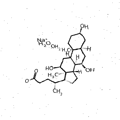 C[C@H](CCC(=O)[O-])[C@H]1CC[C@H]2[C@@H]3[C@H](O)C[C@@H]4C[C@H](O)CC[C@]4(C)[C@H]3C[C@H](O)[C@]12C.O.O.[Na+]